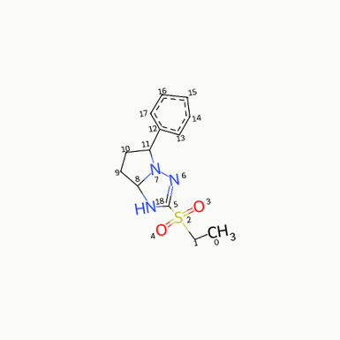 CCS(=O)(=O)C1=NN2C(CCC2c2ccccc2)N1